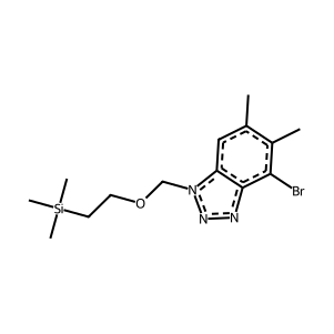 Cc1cc2c(nnn2COCC[Si](C)(C)C)c(Br)c1C